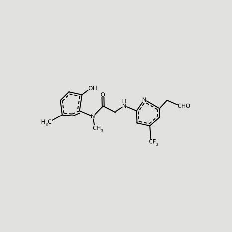 Cc1ccc(O)c(N(C)C(=O)CNc2cc(C(F)(F)F)cc(CC=O)n2)c1